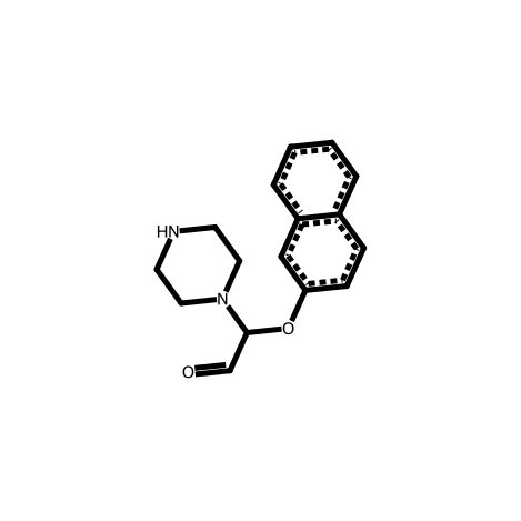 O=CC(Oc1ccc2ccccc2c1)N1CCNCC1